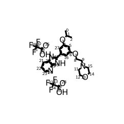 CC(C)Oc1cc(OCCN2CCOCC2)cc(-c2nc3cccnc3[nH]2)c1.O=C(O)C(F)(F)F.O=C(O)C(F)(F)F